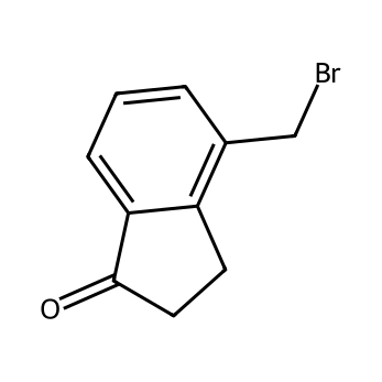 O=C1CCc2c(CBr)cccc21